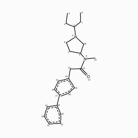 CCC(CC)N1CCC(N(C)C(=O)Cc2ccc(-c3ccccc3)cc2)C1